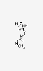 C\N=C/C(I)=N/C=C\NNC